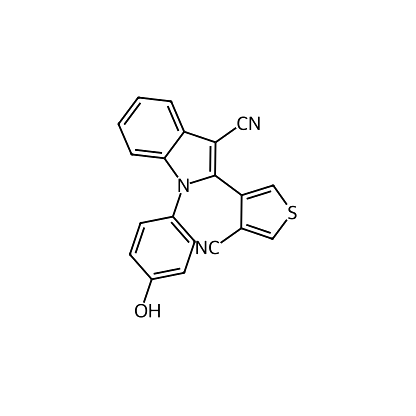 N#Cc1cscc1-c1c(C#N)c2ccccc2n1-c1ccc(O)cc1